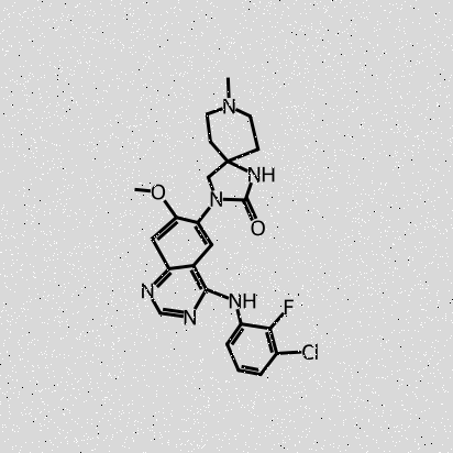 COc1cc2ncnc(Nc3cccc(Cl)c3F)c2cc1N1CC2(CCN(C)CC2)NC1=O